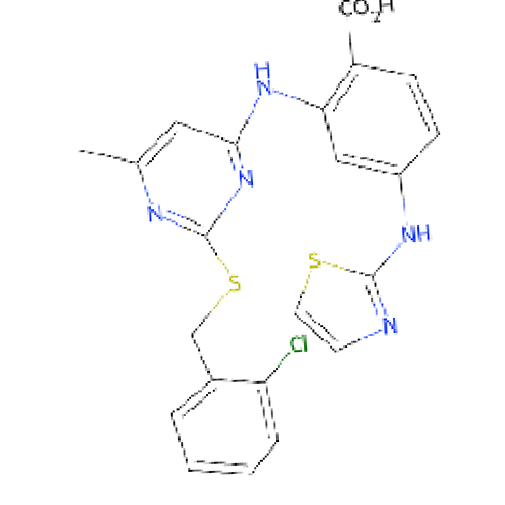 Cc1cc(Nc2cc(Nc3nccs3)ccc2C(=O)O)nc(SCc2ccccc2Cl)n1